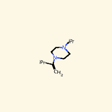 C=C(C(C)C)N1CCN(C(C)C)CC1